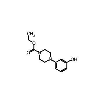 CCOC(=O)N1CCN(c2cccc(O)c2)CC1